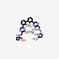 C=C1CC[C@@H](CNCc2ncc(-c3cccc(-c4cccc(-c5cnc(CNC6(CO)CCC6)c(OC)n5)c4C)c3Cl)nc2OC)N1